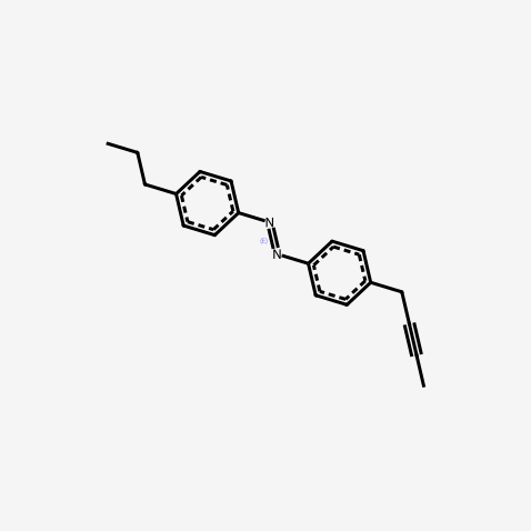 CC#CCc1ccc(/N=N/c2ccc(CCC)cc2)cc1